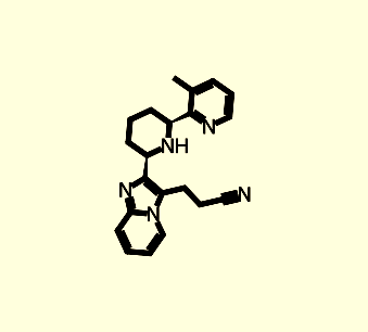 Cc1cccnc1[C@@H]1CCC[C@H](c2nc3ccccn3c2CCC#N)N1